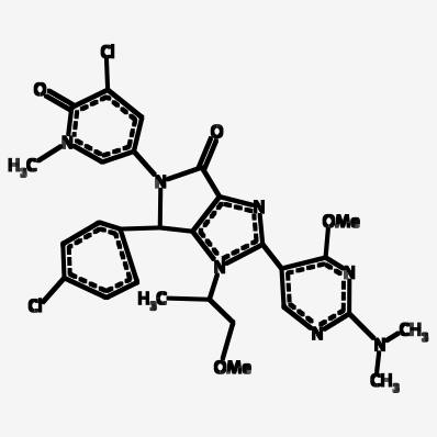 COCC(C)n1c(-c2cnc(N(C)C)nc2OC)nc2c1C(c1ccc(Cl)cc1)N(c1cc(Cl)c(=O)n(C)c1)C2=O